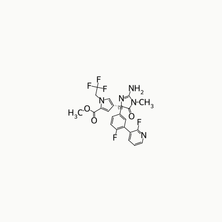 COC(=O)c1cc([C@]2(c3ccc(F)c(-c4cccnc4F)c3)N=C(N)N(C)C2=O)cn1CC(F)(F)F